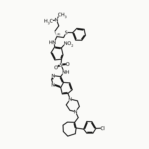 CN(C)CC[C@H](CSc1ccccc1)Nc1ccc(S(=O)(=O)Nc2ncnc3cc(N4CCN(CC5=C(c6ccc(Cl)cc6)CCCCC5)CC4)ccc23)cc1[N+](=O)[O-]